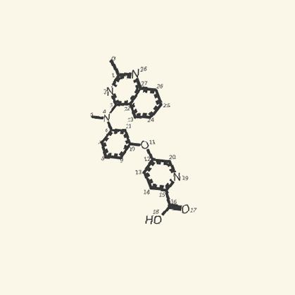 Cc1nc(N(C)c2cccc(Oc3ccc(C(=O)O)nc3)c2)c2ccccc2n1